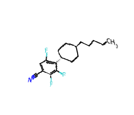 CCCCC[C@H]1CC[C@H](c2c(F)cc(C#N)c(F)c2F)CC1